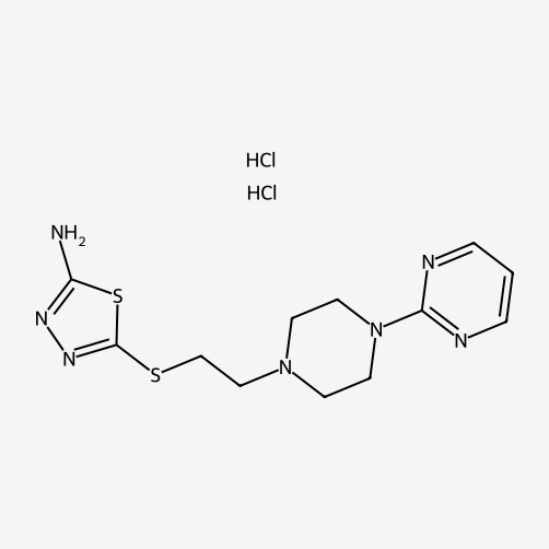 Cl.Cl.Nc1nnc(SCCN2CCN(c3ncccn3)CC2)s1